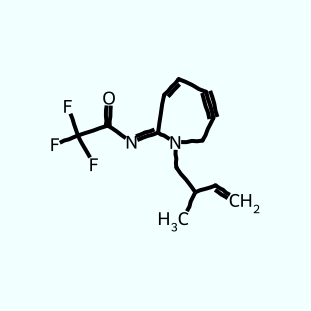 C=CC(C)CN1CC#CC=C/C1=N\C(=O)C(F)(F)F